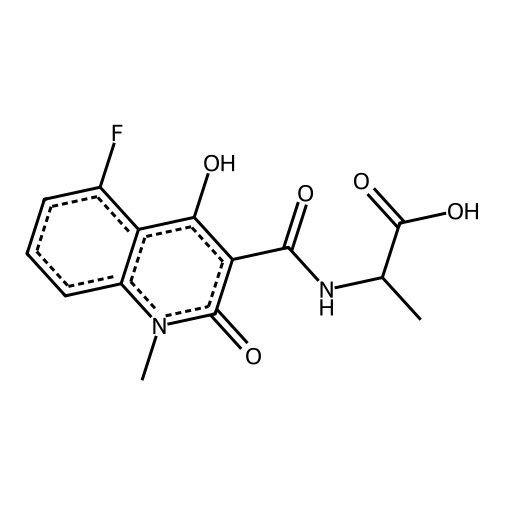 CC(NC(=O)c1c(O)c2c(F)cccc2n(C)c1=O)C(=O)O